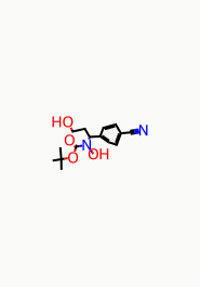 CC(C)(C)OC(=O)N(O)C(CCO)c1ccc(C#N)cc1